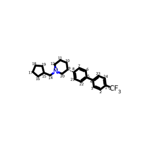 FC(F)(F)c1ccc(-c2ccc([C@H]3CCCN(CC4CCCC4)C3)cc2)cc1